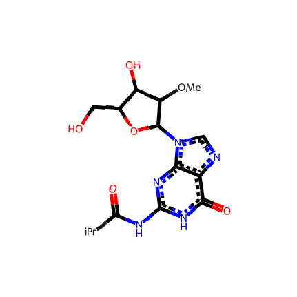 COC1C(O)C(CO)OC1n1cnc2c(=O)[nH]c(NC(=O)C(C)C)nc21